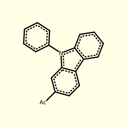 CC(=O)c1ccc2c3ccccc3n(-c3ccccc3)c2c1